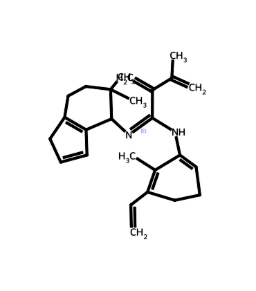 C=CC1=C(C)C(N/C(=N/C2C3=C(CC=C3)CCC2(C)C)C(=C)C(=C)C)=CCC1